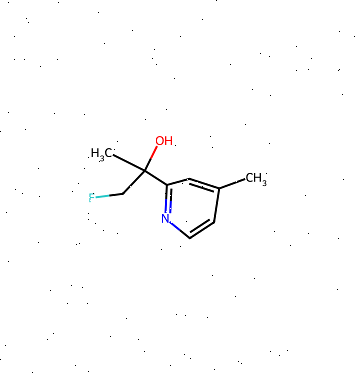 Cc1ccnc(C(C)(O)CF)c1